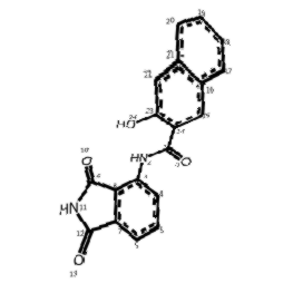 O=C(Nc1cccc2c1C(=O)NC2=O)c1cc2ccccc2cc1O